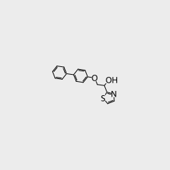 OC(COc1ccc(-c2ccccc2)cc1)c1nccs1